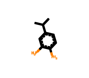 CC(C)c1ccc(P)c(P)c1